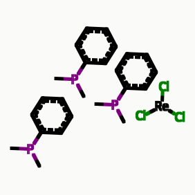 CP(C)c1ccccc1.CP(C)c1ccccc1.CP(C)c1ccccc1.[Cl][Re]([Cl])[Cl]